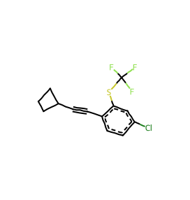 FC(F)(F)Sc1cc(Cl)ccc1C#CC1CCC1